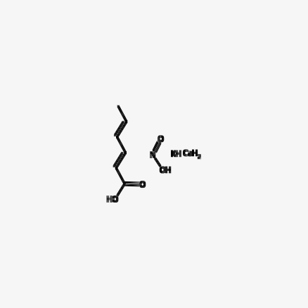 CC=CC=CC(=O)O.O=NO.[CaH2].[KH]